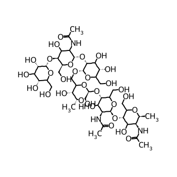 CC(=O)NC1C(O)[C@H](O[C@@H]2OC(CO)[C@H](O)C(O)[C@@H]2O)[C@H](CO)O[C@H]1O[C@@H]1C(O)[C@H](O)C(CO)O[C@@H]1OCC(O[C@H](CO)O[C@@H]1C(CO)O[C@@H](O[C@@H]2C(CO)O[C@@H](C)[C@@H](NC(C)=O)C2O)[C@@H](NC(C)=O)C1O)[C@@H](O)[C@@H](C)O